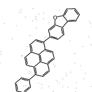 c1ccc(-c2ccc3ccc4c(-c5ccc6c(c5)oc5ccccc56)ccc5ccc2c3c54)cc1